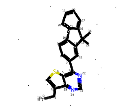 CC(C)Cc1csc2c(-c3ccc4c(c3)C(C)(C)c3ccccc3-4)ncnc12